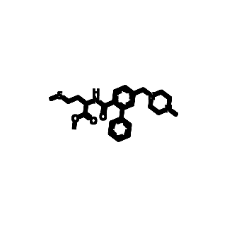 COC(=O)C(CCSC)NC(=O)c1ccc(CN2CCN(C)CC2)cc1-c1ccccc1